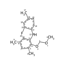 COCOc1c(C)cc(C)cc1Pc1ccc(C)cc1F